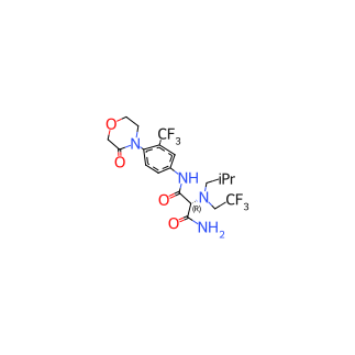 CC(C)CN(CC(F)(F)F)[C@H](C(N)=O)C(=O)Nc1ccc(N2CCOCC2=O)c(C(F)(F)F)c1